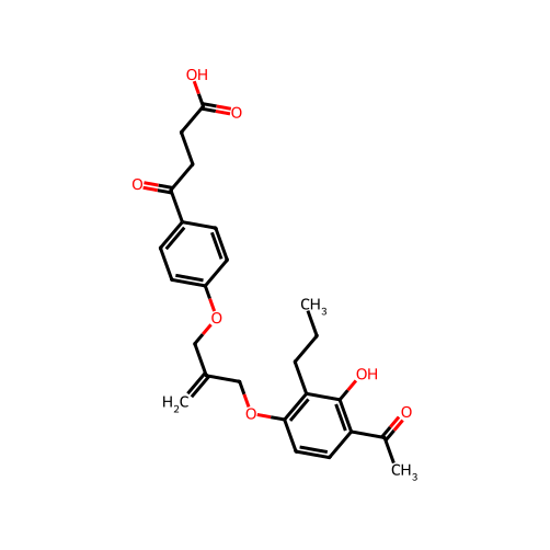 C=C(COc1ccc(C(=O)CCC(=O)O)cc1)COc1ccc(C(C)=O)c(O)c1CCC